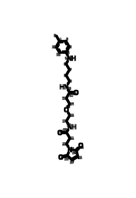 Cc1ccc(NCCCCNC(=O)CCOCCNC(=O)CCN2C(=O)C=CC2=O)cc1